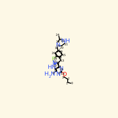 CCCCOc1nc(N)c2[nH]nc(Cc3ccc(CN4CCNC(C)C4)cc3F)c2n1